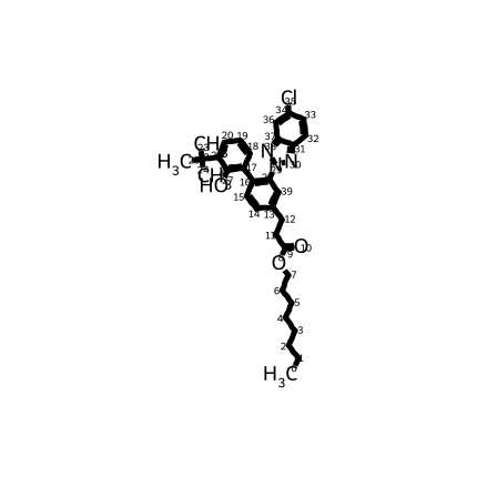 CCCCCCCCOC(=O)CCc1ccc(-c2cccc(C(C)(C)C)c2O)c(-n2nc3ccc(Cl)cc3n2)c1